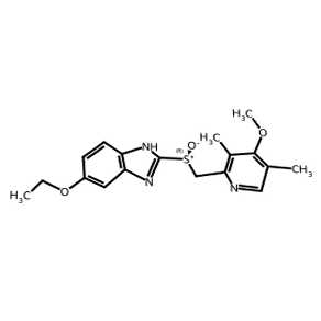 CCOc1ccc2[nH]c([S@@+]([O-])Cc3ncc(C)c(OC)c3C)nc2c1